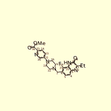 CCc1nc2ccc(CN3CCN(c4ccc(C(=O)OC)nc4)CC3)c(F)c2[nH]c1=O